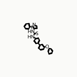 S=C(Nc1ccc(-c2cccc(Oc3ccccc3)c2)cc1)Nc1ccnn1-c1ccccc1